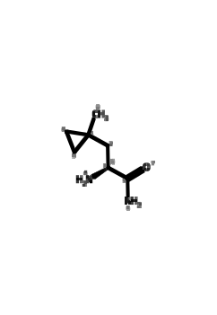 CC1(C[C@H](N)C(N)=O)CC1